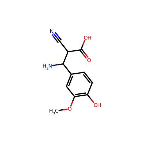 COc1cc(C(N)C(C#N)C(=O)O)ccc1O